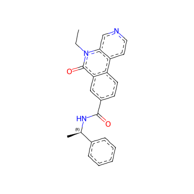 CCn1c(=O)c2cc(C(=O)N[C@H](C)c3ccccc3)ccc2c2ccncc21